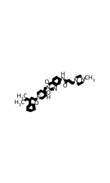 CC(C)C(CC(=O)N1CCC(O)(Cn2cnc3cc(NC(=O)C=CN4CCN(C)CC4)ccc3c2=O)CC1)c1ccccc1